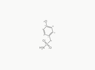 NS(=O)(=O)Cc1ccc(Cl)cc1